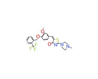 COc1cc(C=C2SC(N3CCN(C)CC3)=NC2=O)ccc1OCc1ccccc1C(F)(F)F